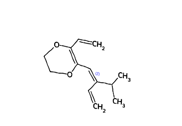 C=CC1=C(/C=C(\C=C)C(C)C)OCCO1